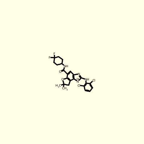 CC1(C)Cc2c(c(C(=O)NC3CCC(F)(F)CC3)cc3nc(Nc4c(Cl)cccc4Cl)[nH]c23)O1